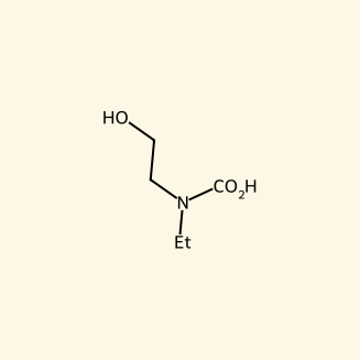 CCN(CCO)C(=O)O